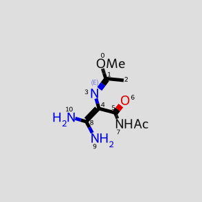 CO/C(C)=N/C(C(=O)NC(C)=O)=C(N)N